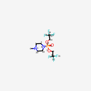 CN1CCN(P(=O)(OCC(F)(F)F)OCC(F)(F)F)CC1